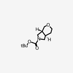 CC(C)(C)OC(=O)N1C[C@@H]2CCOC[C@H]2C1